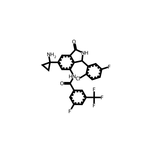 NC1(c2cc(NC(=O)c3cc(F)cc(C(F)(F)F)c3)c3c(c2)C(=O)NC3c2cc(F)ccc2Cl)CC1